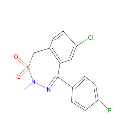 CN1N=C(c2ccc(F)cc2)c2cc(Cl)ccc2CS1(=O)=O